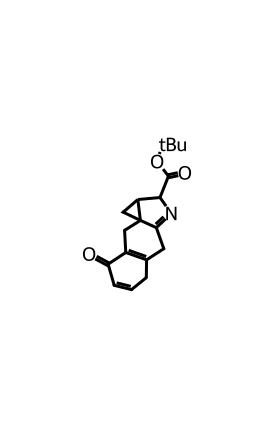 CC(C)(C)OC(=O)C1N=C2CC3=C(CC24CC14)C(=O)C=CC3